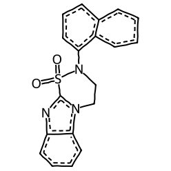 O=S1(=O)c2nc3ccccc3n2CCN1c1cccc2ccccc12